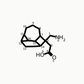 NCC1(CC(=O)O)C2CCCC3C4CC1C2C34